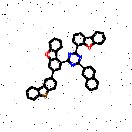 c1ccc2cc(-c3nc(-c4cccc5c4oc4ccccc45)nc(-c4cc(-c5ccc6sc7ccccc7c6c5)cc5oc6ccccc6c45)n3)ccc2c1